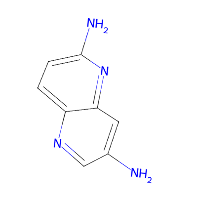 Nc1cnc2ccc(N)nc2c1